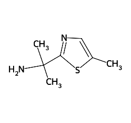 Cc1cnc(C(C)(C)N)s1